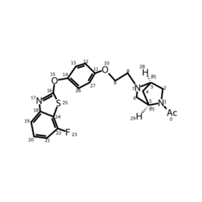 CC(=O)N1C[C@H]2C[C@@H]1CN2CCOc1ccc(Oc2nc3cccc(F)c3s2)cc1